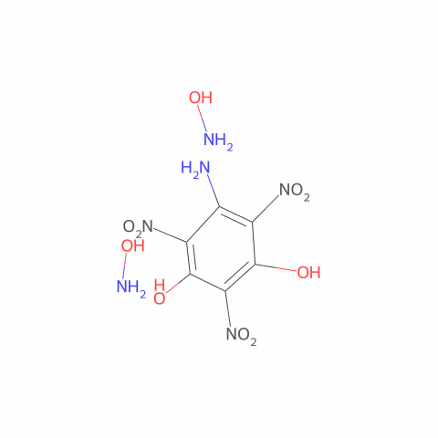 NO.NO.Nc1c([N+](=O)[O-])c(O)c([N+](=O)[O-])c(O)c1[N+](=O)[O-]